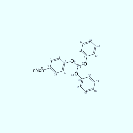 CCCCCCCCCc1ccc(OP(Oc2ccccc2)Oc2ccccc2)cc1